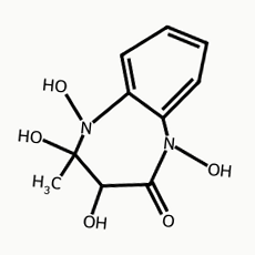 CC1(O)C(O)C(=O)N(O)c2ccccc2N1O